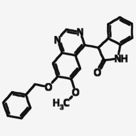 COc1cc2c(C3C(=O)Nc4ccccc43)ncnc2cc1OCc1ccccc1